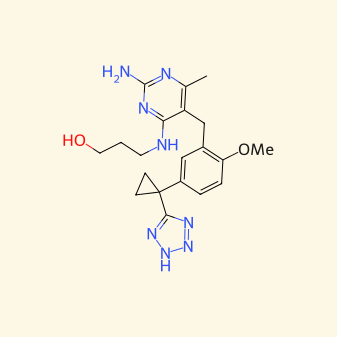 COc1ccc(C2(c3nn[nH]n3)CC2)cc1Cc1c(C)nc(N)nc1NCCCO